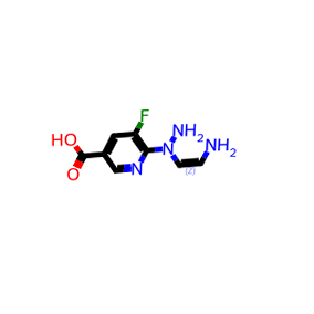 N/C=C\N(N)c1ncc(C(=O)O)cc1F